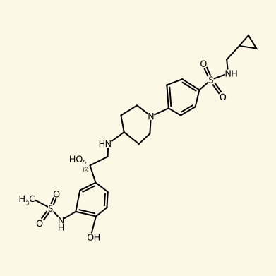 CS(=O)(=O)Nc1cc([C@H](O)CNC2CCN(c3ccc(S(=O)(=O)NCC4CC4)cc3)CC2)ccc1O